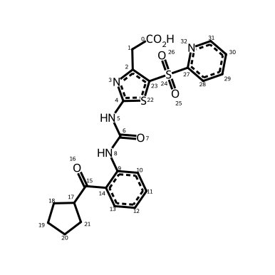 O=C(O)Cc1nc(NC(=O)Nc2ccccc2C(=O)C2CCCC2)sc1S(=O)(=O)c1ccccn1